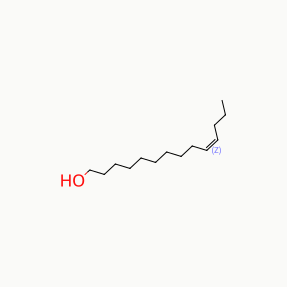 CCC/C=C\CCCCCCCCCO